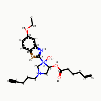 C#CCCCN1CC(OC(=O)CCCC=C)[N+]([O-])(c2nc3cc(OCC)ccc3s2)C1